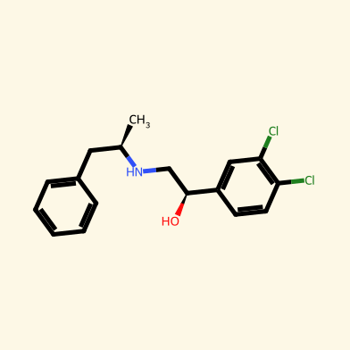 C[C@H](Cc1ccccc1)NC[C@H](O)c1ccc(Cl)c(Cl)c1